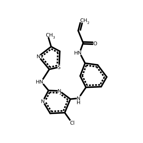 C=CC(=O)Nc1cccc(Nc2nc(Nc3nc(C)cs3)ncc2Cl)c1